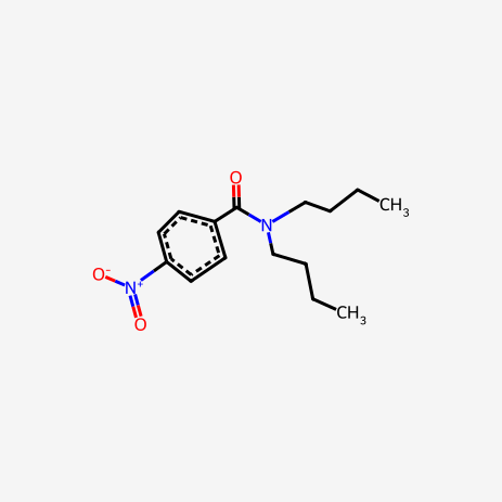 CCCCN(CCCC)C(=O)c1ccc([N+](=O)[O-])cc1